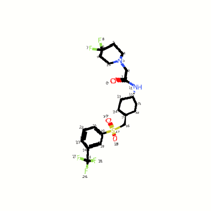 O=C(CN1CCC(F)(F)CC1)N[C@H]1CC[C@H](CS(=O)(=O)c2cccc(C(F)(F)F)c2)CC1